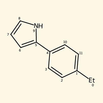 CCc1ccc(-c2ccc[nH]2)cc1